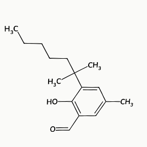 CCCCCC(C)(C)c1cc(C)cc(C=O)c1O